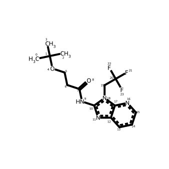 CC(C)(C)OCCC(=O)Nc1nc2cccnc2n1CC(F)(F)F